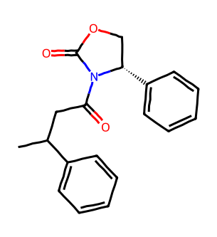 CC(CC(=O)N1C(=O)OC[C@@H]1c1ccccc1)c1ccccc1